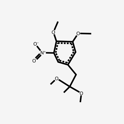 COc1cc(CC(C)(OC)OC)cc([N+](=O)[O-])c1OC